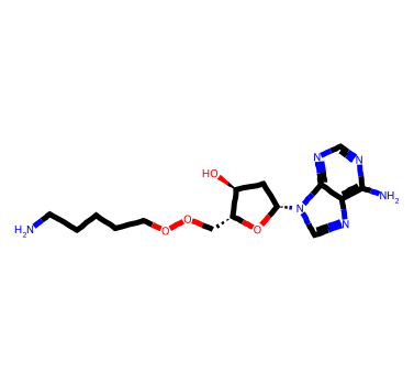 NCCCCCOOC[C@H]1O[C@@H](n2cnc3c(N)ncnc32)C[C@@H]1O